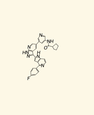 O=C(Nc1cncc(-c2cnc3[nH]nc(-c4cc5c(-c6ccc(F)cc6)nccc5[nH]4)c3c2)c1)C1CCCC1